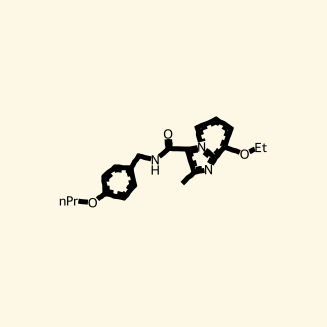 CCCOc1ccc(CNC(=O)c2c(C)nc3c(OCC)cccn23)cc1